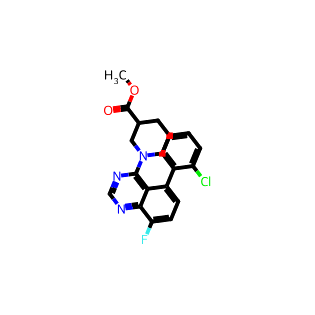 COC(=O)C1CCCN(c2ncnc3c(F)ccc(-c4ccccc4Cl)c23)C1